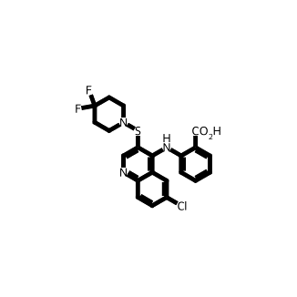 O=C(O)c1ccccc1Nc1c(SN2CCC(F)(F)CC2)cnc2ccc(Cl)cc12